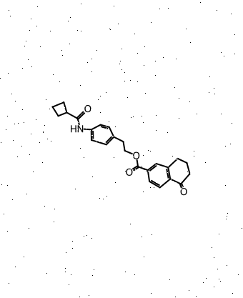 O=C(OCCc1ccc(NC(=O)C2CCC2)cc1)c1ccc2c(c1)CCCC2=O